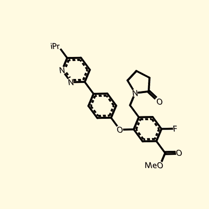 COC(=O)c1cc(Oc2ccc(-c3ccc(C(C)C)nn3)cc2)c(CN2CCCC2=O)cc1F